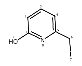 Oc1cccc(CI)n1